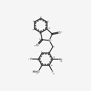 COc1c(F)cc(CN2C(=O)c3ccccc3C2=O)c(C(C)=O)c1F